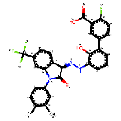 Cc1ccc(N2C(=O)/C(=N\Nc3cccc(-c4ccc(F)c(C(=O)O)c4)c3O)c3ccc(C(F)(F)F)cc32)cc1C